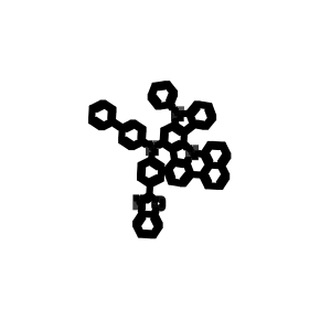 c1ccc(-c2ccc(N(c3ccc(-c4nc5ccccc5o4)cc3)c3cc4c(c5ccccc5n4-c4ccccc4)c4c3c3cccc5c6cccc7cccc(c76)n4c53)cc2)cc1